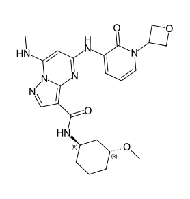 CNc1cc(Nc2cccn(C3COC3)c2=O)nc2c(C(=O)N[C@@H]3CCC[C@@H](OC)C3)cnn12